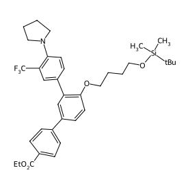 CCOC(=O)c1ccc(-c2ccc(OCCCCO[Si](C)(C)C(C)(C)C)c(-c3ccc(N4CCCC4)c(C(F)(F)F)c3)c2)cc1